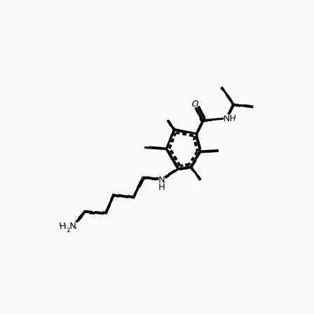 Cc1c(C)c(C(=O)NC(C)C)c(C)c(C)c1NCCCCCN